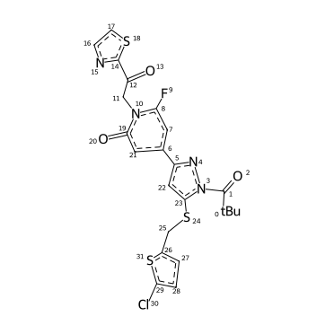 CC(C)(C)C(=O)n1nc(-c2cc(F)n(CC(=O)c3nccs3)c(=O)c2)cc1SCc1ccc(Cl)s1